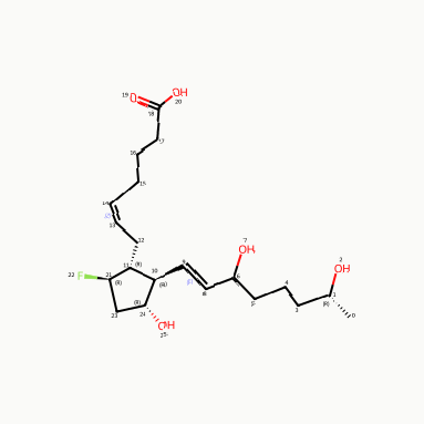 C[C@@H](O)CCCC(O)/C=C/[C@@H]1[C@@H](C/C=C\CCCC(=O)O)[C@H](F)C[C@H]1O